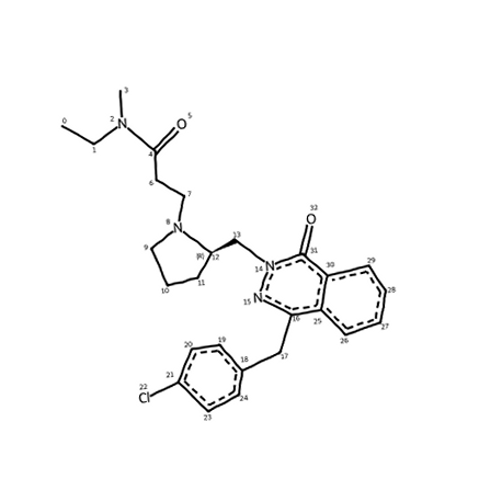 CCN(C)C(=O)CCN1CCC[C@@H]1Cn1nc(Cc2ccc(Cl)cc2)c2ccccc2c1=O